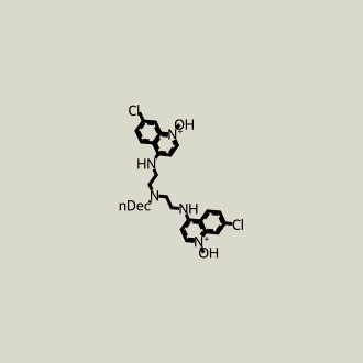 CCCCCCCCCCN(CCNc1cc[n+](O)c2cc(Cl)ccc12)CCNc1cc[n+](O)c2cc(Cl)ccc12